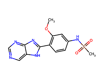 COc1cc(NS(C)(=O)=O)ccc1-c1nc2ncncc2[nH]1